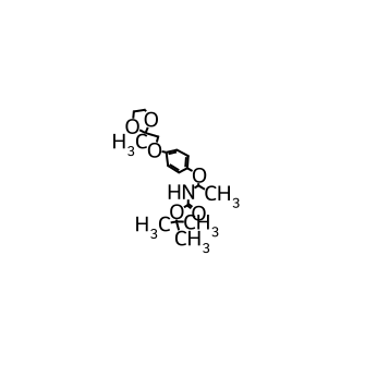 CC(NC(=O)OC(C)(C)C)Oc1ccc(OCC2(C)OCCO2)cc1